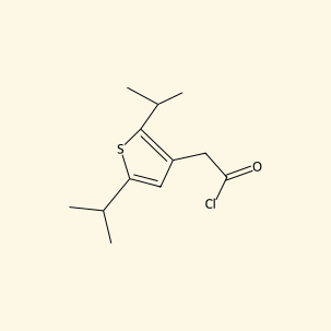 CC(C)c1cc(CC(=O)Cl)c(C(C)C)s1